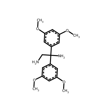 COc1cc(OC)cc(C(N)(CN)c2cc(OC)cc(OC)c2)c1